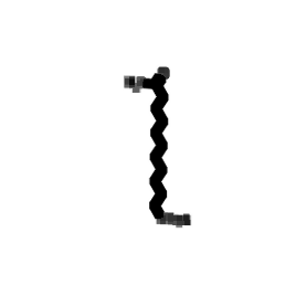 CCCCCCCCCCCCCCCCCC(=O)P